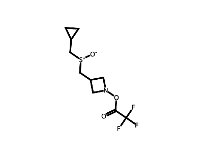 O=C(ON1CC(C[S+]([O-])CC2CC2)C1)C(F)(F)F